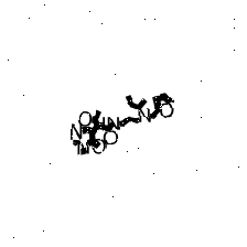 CCC(C)N(CCCNC(=O)c1c(C)oc2ncn(C)c(=O)c12)Cc1ccco1